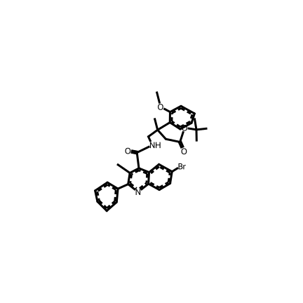 COc1ccccc1C(C)(CNC(=O)c1c(C)c(-c2ccccc2)nc2ccc(Br)cc12)CC(=O)OC(C)(C)C